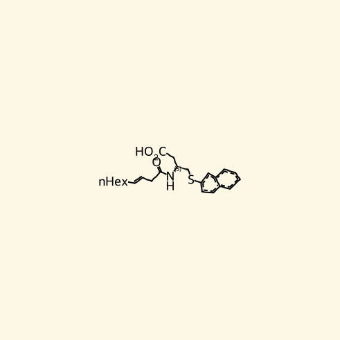 CCCCCCC=CCC(=O)N[C@H](CSc1ccc2ccccc2c1)CC(=O)O